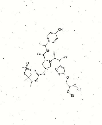 CCOC(COc1cc(C(C(=O)N2C[C@H](OC(=O)OC(C)C(C)(C)SS(C)(=O)=O)C[C@H]2C(=O)NC(C)c2ccc(C#N)cc2)C(C)C)on1)OCC